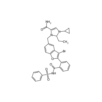 CCC1N(Cc2ccc3oc(-c4ccccc4C(=O)NS(=O)(=O)c4ccccc4)c(Br)c3c2)C(C(N)=O)=CN1C1CC1